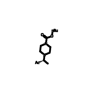 CCCCOC(=O)N1CCN([C@H](C)C(C)=O)CC1